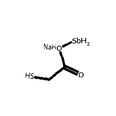 O=C(CS)[O][SbH2].[NaH]